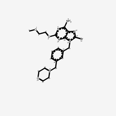 COCCOc1nc(N)c2nc(Br)n(Cc3cccc(CN4CCOCC4)c3)c2n1